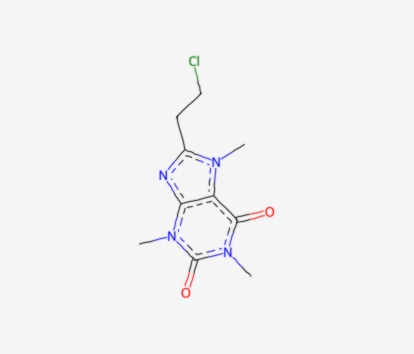 Cn1c(=O)c2c(nc(CCCl)n2C)n(C)c1=O